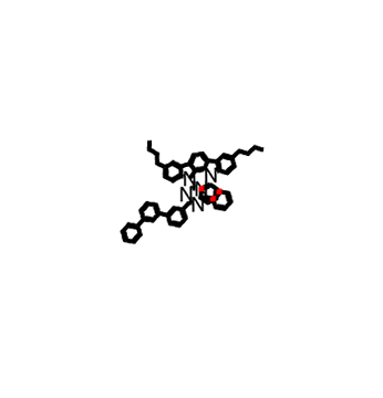 CCCCc1ccc2c(c1)c1ccc3c4cc(CCCC)ccc4n(-c4nc(-c5ccccc5)nc(-c5cccc(-c6cccc(-c7ccccc7)c6)c5)n4)c3c1n2-c1ccccc1